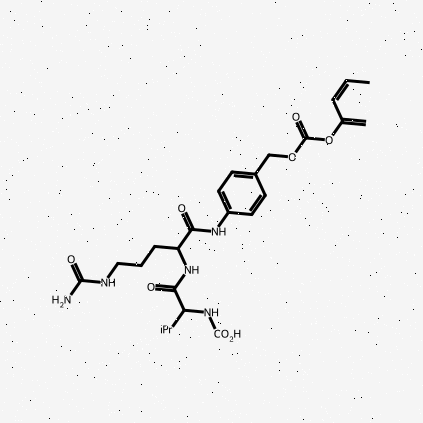 C=C(/C=C\C)OC(=O)OCc1ccc(NC(=O)C(CCCNC(N)=O)NC(=O)C(NC(=O)O)C(C)C)cc1